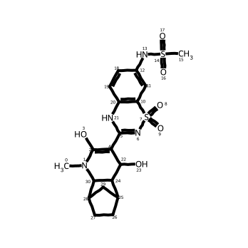 CN1C(O)=C(C2=NS(=O)(=O)c3cc(NS(C)(=O)=O)ccc3N2)C(O)C2C3CCC(C3)C21